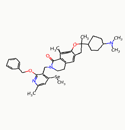 C[Se]c1cc(C)nc(OCc2ccccc2)c1CN1CCc2cc3c(c(C)c2C1=O)OC(C)(C1CCC(N(C)C)CC1)C3